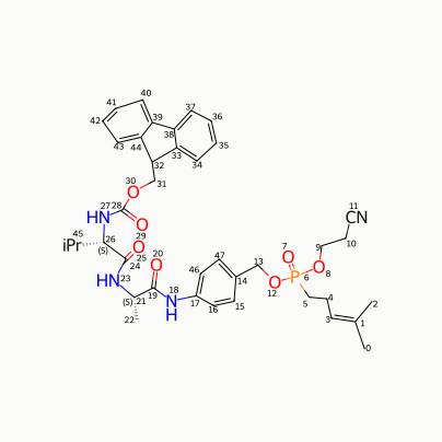 CC(C)=CCCP(=O)(OCCC#N)OCc1ccc(NC(=O)[C@H](C)NC(=O)[C@@H](NC(=O)OCC2c3ccccc3-c3ccccc32)C(C)C)cc1